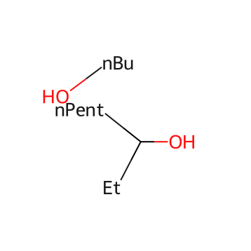 CCCCCC(O)CC.CCCCO